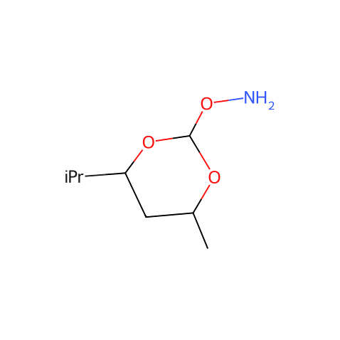 CC1CC(C(C)C)OC(ON)O1